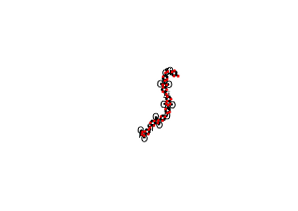 Cc1ccc(O[Si](C)(C)Oc2ccc(N3C(=O)c4ccc([Si](C)(C)c5ccc6c(c5)C(=O)N(c5ccc(Oc7ccc(N8C(=O)c9ccc([Si](C)(C)c%10ccc%11c(c%10)C(=O)N(C)C%11=O)cc9C8=O)cc7)cc5)C6=O)cc4C3=O)cc2)cc1